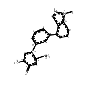 Cn1ncc2c(-c3cccc(-n4cc(O)c(=O)cc4N)c3)cccc21